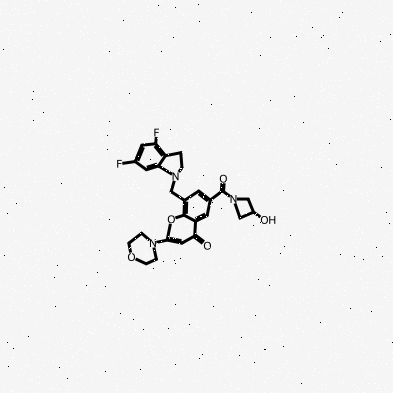 O=C(c1cc(CN2CCc3c(F)cc(F)cc32)c2oc(N3CCOCC3)cc(=O)c2c1)N1CC(O)C1